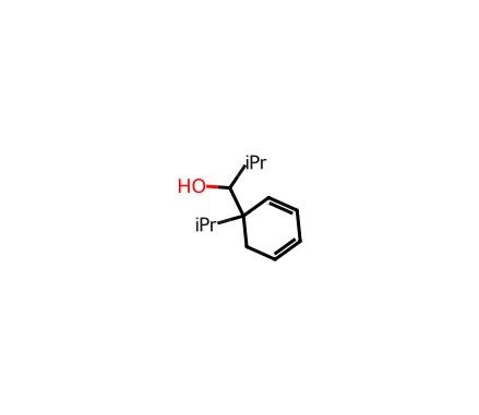 CC(C)C(O)C1(C(C)C)C=CC=CC1